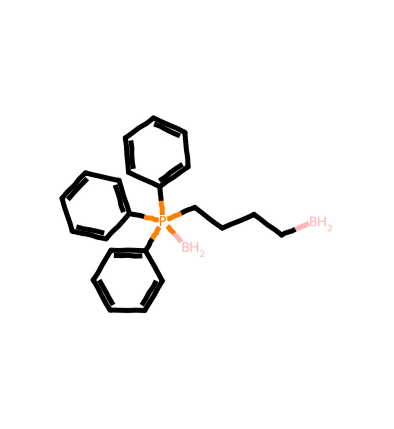 BCCCCP(B)(c1ccccc1)(c1ccccc1)c1ccccc1